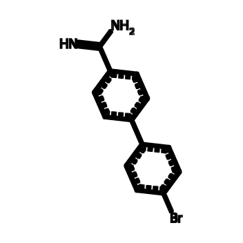 N=C(N)c1ccc(-c2ccc(Br)cc2)cc1